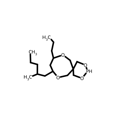 CCCC(C)CC1CC(CCC)OCC2(COPOC2)CO1